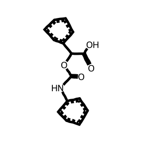 O=C(Nc1ccccc1)OC(C(=O)O)c1ccccc1